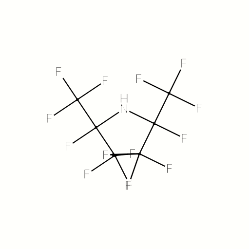 FC(F)(F)C(F)(NC(F)(C(F)(F)F)C(F)(F)F)C(F)(F)F